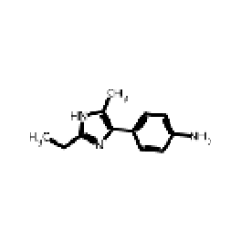 CCc1nc(-c2ccc(N)cc2)c(C)[nH]1